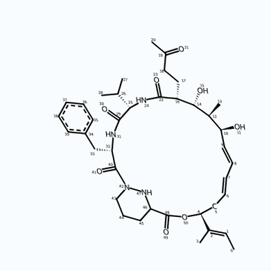 C/C=C(\C)[C@@H]1C/C=C/C=C/[C@H](O)[C@H](C)[C@@H](O)[C@@H](CCC(C)=O)C(=O)N[C@@H](C(C)C)C(=O)N[C@@H](Cc2ccccc2)C(=O)N2CCCC(N2)C(=O)O1